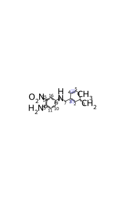 C=C/C=C(\C=C/C)CNc1ccc(N)c([N+](=O)[O-])c1